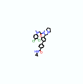 CN(CC(=O)N(C)C(CN1CCCC1)c1ccc(-c2ccc(C(=O)NC3CC3)cc2)cc1)c1ccc(Cl)c(Cl)c1